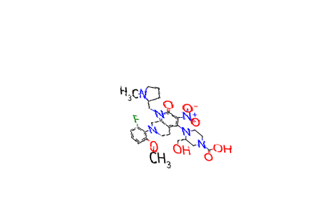 COc1cccc(F)c1N1CCc2c(N3CCN(C(=O)O)CC3CO)c([N+](=O)[O-])c(=O)n(CC3CCCN3C)c2C1